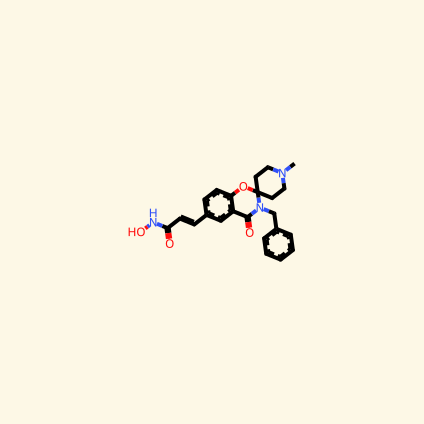 CN1CCC2(CC1)Oc1ccc(C=CC(=O)NO)cc1C(=O)N2Cc1ccccc1